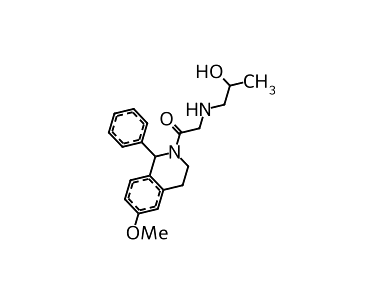 COc1ccc2c(c1)CCN(C(=O)CNCC(C)O)C2c1ccccc1